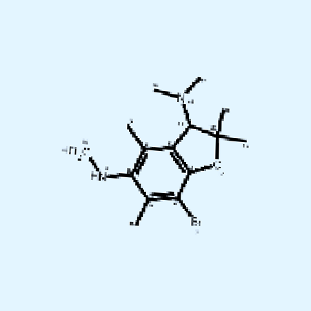 Cc1c(Br)c2c(c(C)c1NC(=O)O)C(N(C)C)C(C)(C)O2